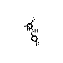 COc1ccc(CNc2cc(C#N)cc(C)n2)cc1